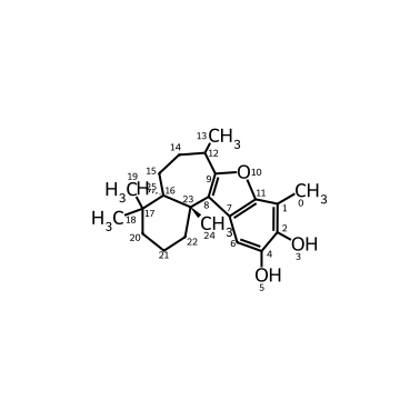 Cc1c(O)c(O)cc2c3c(oc12)C(C)CC[C@@H]1C(C)(C)CCC[C@@]31C